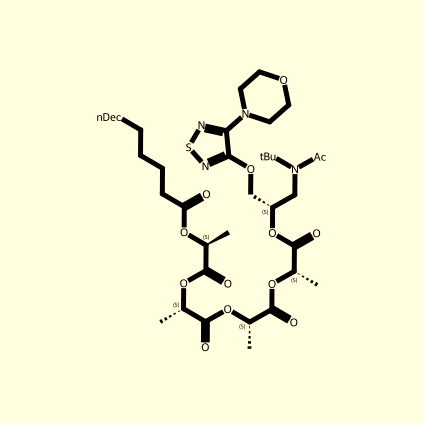 CCCCCCCCCCCCCCC(=O)O[C@@H](C)C(=O)O[C@@H](C)C(=O)O[C@@H](C)C(=O)O[C@@H](C)C(=O)O[C@H](COc1nsnc1N1CCOCC1)CN(C(C)=O)C(C)(C)C